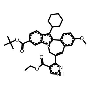 CCOC(=O)c1c[nH]nc1C1=Cc2cc(OC)ccc2-c2c(C3CCCCC3)c3ccc(C(=O)OC(C)(C)C)cc3n2C1